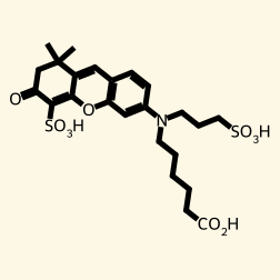 CC1(C)CC(=O)C(S(=O)(=O)O)=C2Oc3cc(N(CCCCCC(=O)O)CCCS(=O)(=O)O)ccc3C=C21